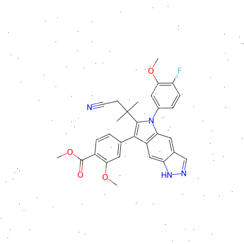 COC(=O)c1ccc(-c2c(C(C)(C)CC#N)n(-c3ccc(F)c(OC)c3)c3cc4cn[nH]c4cc23)cc1OC